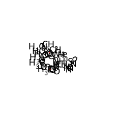 CC[C@H]1OC(=O)[C@](C)(F)C(=O)[C@@H](C)[C@@H](O[C@@H]2OC(C)CC(N(C)C)C2O)[C@](C)(OC)C[C@@H](C)CN[C@H](C)[C@H]2N(CCCCn3cc(-c4nc5ccccc5s4)nn3)C(=O)O[C@]12C